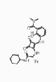 CC(C)[C@@H](Nc1c(Nc2cccc(C(=O)N(C)C)c2O)c(=O)c1=O)C(=O)NC1CCCCC1